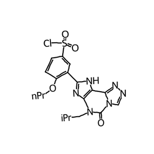 CCCOc1ccc(S(=O)(=O)Cl)cc1-c1nc2c([nH]1)c1nncn1c(=O)n2CC(C)C